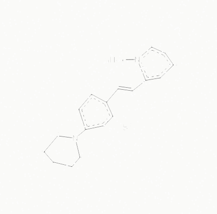 CCCCCC[n+]1ccccc1C=Cc1ccc(N2CCCCC2)cc1.[Br-]